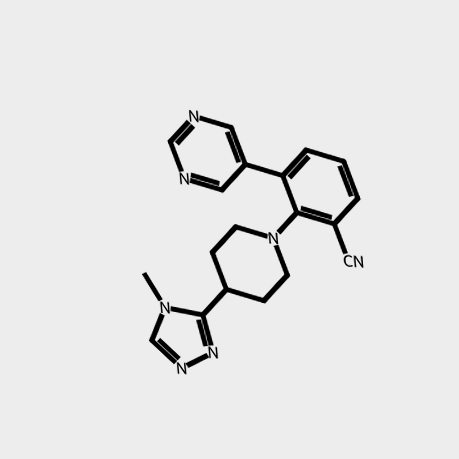 Cn1cnnc1C1CCN(c2c(C#N)cccc2-c2cncnc2)CC1